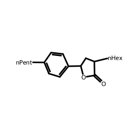 CCCCCCC1CC(c2ccc(CCCCC)cc2)OC1=O